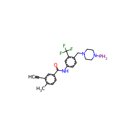 C#Cc1cc(C(=O)Nc2ccc(CN3CCN(P)CC3)c(C(F)(F)F)c2)ccc1C